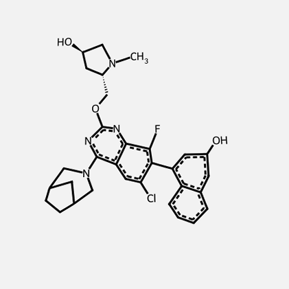 CN1C[C@H](O)C[C@H]1COc1nc(N2CC3CCC(C3)C2)c2cc(Cl)c(-c3cc(O)cc4ccccc34)c(F)c2n1